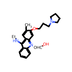 CCNc1c2ccccc2nc2cc(OCCCN3CCCC3)c(C)cc12.O=CO